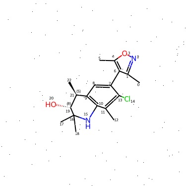 Cc1noc(C)c1-c1cc2c(c(C)c1Cl)NC(C)(C)[C@H](O)[C@H]2C